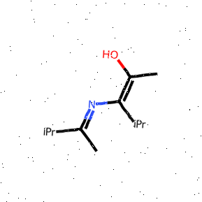 C/C(O)=C(/N=C(\C)C(C)C)C(C)C